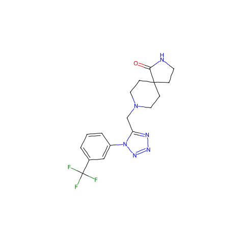 O=C1NCCC12CCN(Cc1nnnn1-c1cccc(C(F)(F)F)c1)CC2